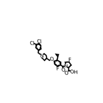 O=C(O)C1C[C@@H](F)CN1C(=O)c1cc(C2CC2)c(OCC2CCN(Cc3ccc(Cl)c(Cl)c3)CC2)cc1F